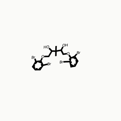 CC(C)(C(O)COc1c(Br)cccc1Br)C(O)COc1c(Br)cccc1Br